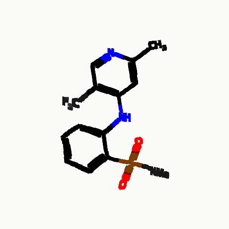 CNS(=O)(=O)c1ccccc1Nc1cc(C)ncc1C(F)(F)F